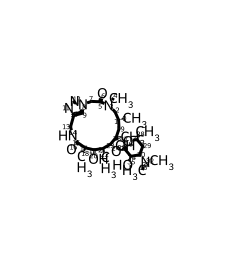 C[C@H]1CN(C)C(=O)Cn2cc(nn2)CNC(=O)[C@H](C)[C@@H](O)[C@H](C)[C@@H](O[C@@H]2O[C@H](C)C[C@H](N(C)C)[C@H]2O)[C@](C)(O)C1